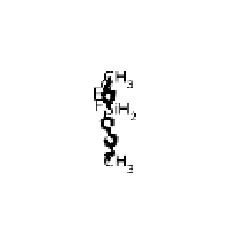 CCC[C@H]1CC[C@H]([C@H]2CC[C@H](C[SiH2]c3ccc(OCC)c(F)c3F)CC2)CC1